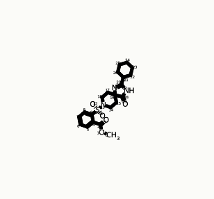 COC(=O)c1ccccc1S(=O)(=O)N1CCC2(CC1)N=C(C1CCCCC1)NC2=O